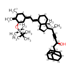 C=C1[C@H](C)C/C(=C/C=C2\CCC[C@@]3(C)C2CC[C@@H]3[C@H](C)C#CC(O)CC23CC4CC(CC(C4)C2)C3)C[C@H]1O[Si](C)(C)C(C)(C)C